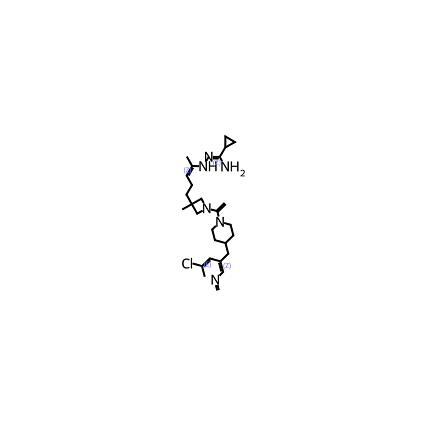 C=N/C=C(\C=C(/C)Cl)CC1CCN(C(=C)N2CC(C)(CC/C=C(/C)N/N=C(\N)C3CC3)C2)CC1